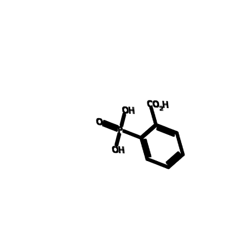 O=C(O)c1ccccc1P(=O)(O)O